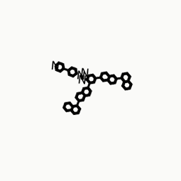 c1ccc2c(-c3ccc4cc(-c5cc(-c6ccc7cc(-c8cccc9ccccc89)ccc7c6)c6nn(-c7ccc(-c8ccncc8)cc7)nc6c5)ccc4c3)cccc2c1